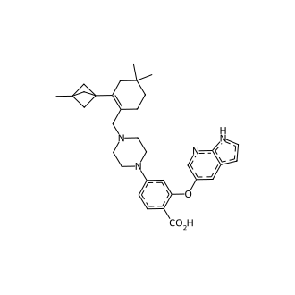 CC1(C)CCC(CN2CCN(c3ccc(C(=O)O)c(Oc4cnc5[nH]ccc5c4)c3)CC2)=C(C23CC(C)(C2)C3)C1